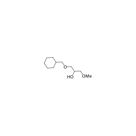 COCC(O)COCC1CCCCC1